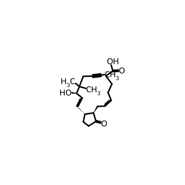 CC#CCC(C)(C)[C@H](O)/C=C/[C@H]1CCC(=O)[C@@H]1C/C=C\CCCC(=O)O